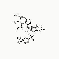 COC[C@H](C)N(C(=O)CCl)c1c(C)csc1C.Cn1nc(C(F)(F)F)c(CS(=O)(=O)C2=NOC(C)(C)C2)c1OC(F)F